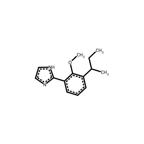 CCC(C)c1cccc(-c2ncc[nH]2)c1OC